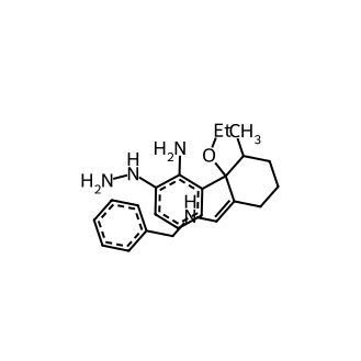 CCOC1(c2cccc(NN)c2N)/C(=C\NCc2ccccc2)CCCC1C